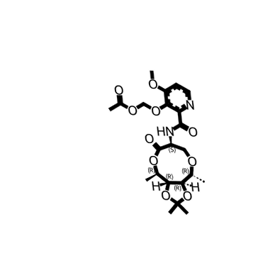 COc1ccnc(C(=O)N[C@H]2CO[C@H](C)[C@H]3OC(C)(C)O[C@@H]3[C@@H](C)OC2=O)c1OCOC(C)=O